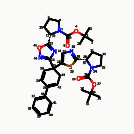 CC(C)(C)OC(=O)N1CCC[C@H]1c1nc(C2(c3cnc([C@@H]4CCCN4C(=O)OC(C)(C)C)s3)C=CC(c3ccccc3)=CC2)no1